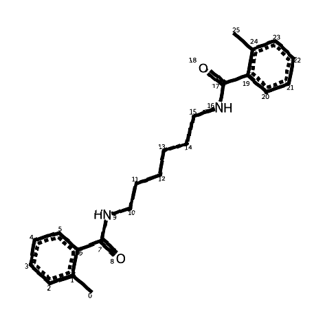 Cc1ccccc1C(=O)NCCCCCCNC(=O)c1ccccc1C